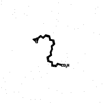 O=C(O)C/C=C\C/C=C\CCCC/C=C\C/C=C\CCC1CO1